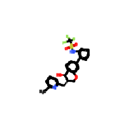 Cc1cccc(C[C@H]2COc3cc(-c4ccccc4NS(=O)(=O)C(F)(F)F)ccc3[C@@H]2O)n1